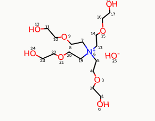 OCCOCC[N+](CCOCCO)(CCOCCO)CCOCCO.[OH-]